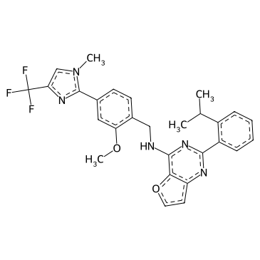 COc1cc(-c2nc(C(F)(F)F)cn2C)ccc1CNc1nc(-c2ccccc2C(C)C)nc2ccoc12